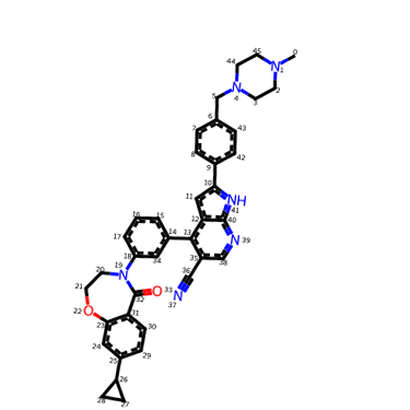 CN1CCN(Cc2ccc(-c3cc4c(-c5cccc(N6CCOc7cc(C8CC8)ccc7C6=O)c5)c(C#N)cnc4[nH]3)cc2)CC1